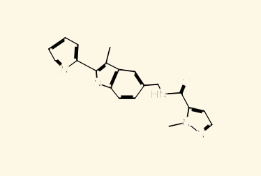 Cc1c(-c2ccccn2)[nH]c2ccc(CNC(=O)c3ccnn3C)cc12